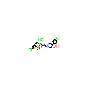 Cl.O=S1(=O)c2sc(Cl)cc2C=CN1CCCCN1CCC(O)(c2ccc(Cl)cc2)CC1